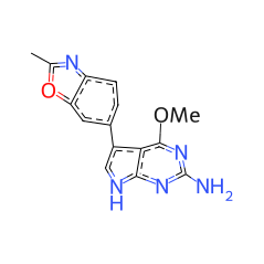 COc1nc(N)nc2[nH]cc(-c3ccc4nc(C)oc4c3)c12